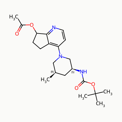 CC(=O)OC1CCc2c(N3C[C@H](C)C[C@H](NC(=O)OC(C)(C)C)C3)ccnc21